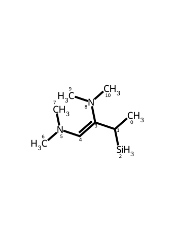 CC([SiH3])C(=CN(C)C)N(C)C